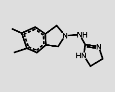 Cc1cc2c(cc1C)CN(NC1=NCCN1)C2